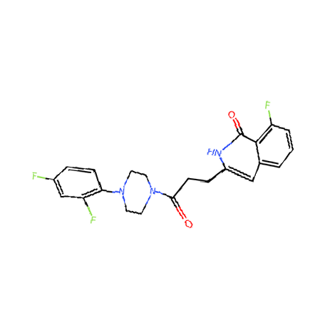 O=C(CCc1cc2cccc(F)c2c(=O)[nH]1)N1CCN(c2ccc(F)cc2F)CC1